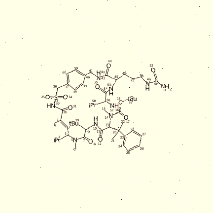 C/C(=C\C(C(C)C)N(C)C(=O)C(NC(=O)C(N(C)C(=O)OC(C)(C)C)C(C)(C)c1ccccc1)C(C)(C)C)C(=O)NS(=O)(=O)Cc1ccc(CNC(=O)C(CCCNC(N)=O)NC(=O)C(N)C(C)C)cc1